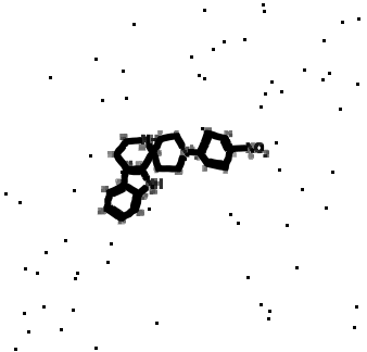 O=[N+]([O-])c1ccc(N2CCC3(CC2)NCCc2c3[nH]c3ccccc23)cc1